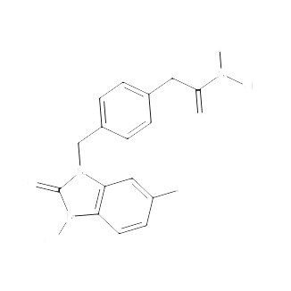 CN(C)C(=O)Cc1ccc(Cn2c(=O)n(C)c3ccc(F)cc32)cc1